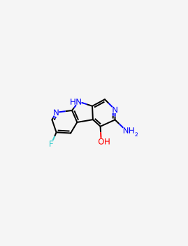 Nc1ncc2[nH]c3ncc(F)cc3c2c1O